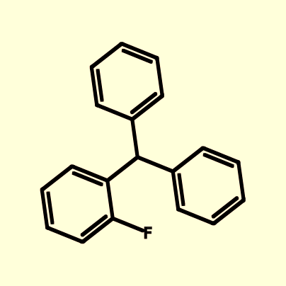 Fc1ccccc1C(c1ccccc1)c1ccccc1